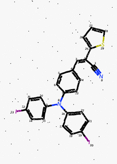 N#C/C(=C\c1ccc(N(c2ccc(I)cc2)c2ccc(I)cc2)cc1)c1cccs1